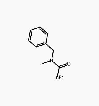 CCCC(=O)N(I)Cc1ccccc1